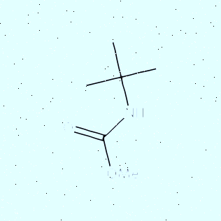 COC(=O)NC(C)(C)C